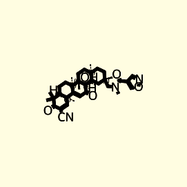 CN(C[C@@]1(C)CC[C@]2(C)CC[C@@]3(C)[C@]4(C)CC[C@H]5C(C)(C)C(=O)C(C#N)=C[C@]5(C)C4=CC(=O)[C@]3(O)[C@@H]2C1)C(=O)c1cnoc1